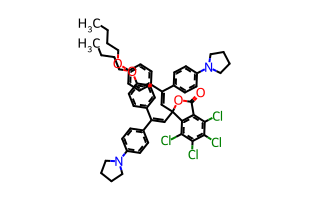 CCCCOc1ccc(C(=CC2(C=C(c3ccc(OCCCC)cc3)c3ccc(N4CCCC4)cc3)OC(=O)c3c(Cl)c(Cl)c(Cl)c(Cl)c32)c2ccc(N3CCCC3)cc2)cc1